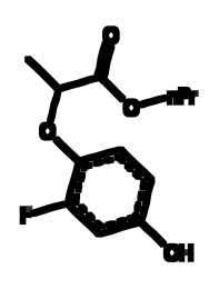 CCCOC(=O)C(C)Oc1ccc(O)cc1F